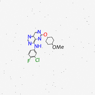 CO[C@H]1CC[C@H](Oc2ncc3ncnc(Nc4ccc(F)c(Cl)c4)c3n2)CC1